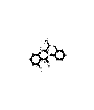 Cc1ccccc1-n1c(CN)nc2cccc(F)c2c1=O